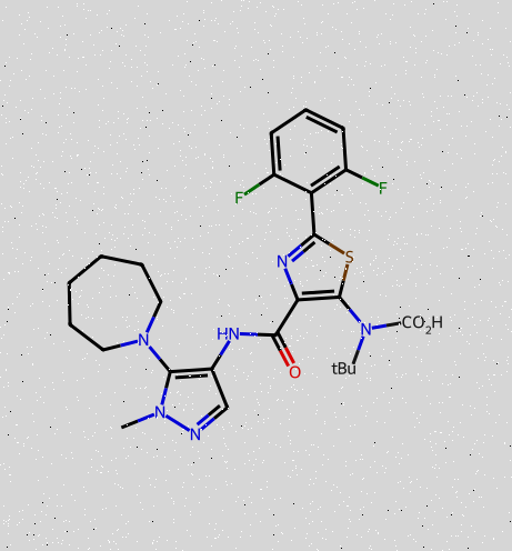 Cn1ncc(NC(=O)c2nc(-c3c(F)cccc3F)sc2N(C(=O)O)C(C)(C)C)c1N1CCCCCC1